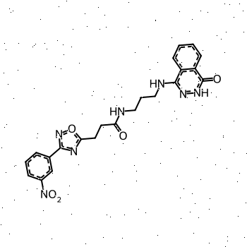 O=C(CCc1nc(-c2cccc([N+](=O)[O-])c2)no1)NCCCNc1n[nH]c(=O)c2ccccc12